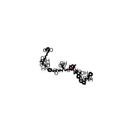 Cc1c(-c2ccc(N3CCc4cccc(C(=O)Nc5nc6ccccc6s5)c4C3)nc2C(=O)O)cnn1CC12CC3(C)CC(C)(C1)CC(OCCN(CCCNC(=O)OCc1ccc(NC(=O)CNC(=O)C(NC(=O)CCCCCN4C(=O)C=CC4=O)C(C)C)cc1)CCS(=O)(=O)O)(C3)C2